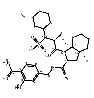 CCS(=O)(=O)N(C1CCCCC1)[C@@H](C)C(=O)N1[C@H](C(=O)NCc2ccc(C(=N)N)c(O)c2)C[C@@H]2CCCC[C@@H]21.Cl